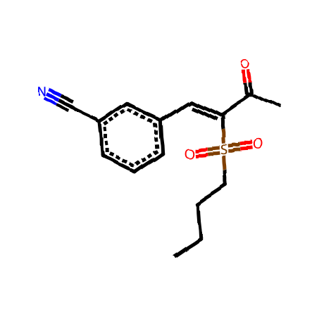 CCCCS(=O)(=O)C(=Cc1cccc(C#N)c1)C(C)=O